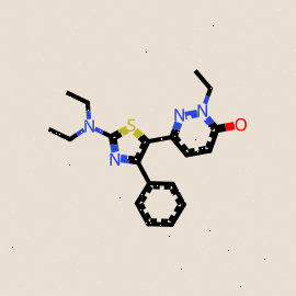 CCN(CC)c1nc(-c2ccccc2)c(-c2ccc(=O)n(CC)n2)s1